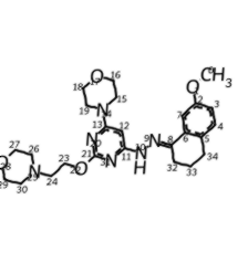 COc1ccc2c(c1)C(=NNc1cc(N3CCOCC3)nc(OCCN3CCOCC3)n1)CCC2